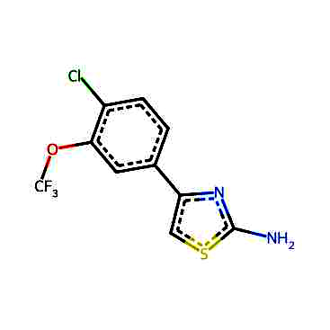 Nc1nc(-c2ccc(Cl)c(OC(F)(F)F)c2)cs1